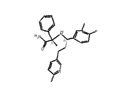 Cc1ccc(CC[C@H](N[C@](C)(C(N)=O)c2ccccc2)c2ccc(F)c(C)c2)cn1